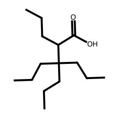 CCCC(C(=O)O)C(CCC)(CCC)CCC